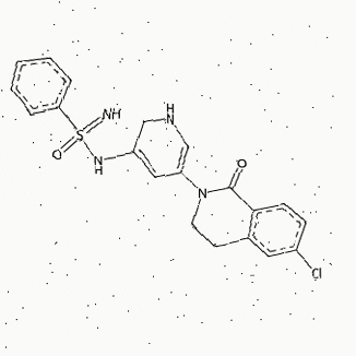 N=S(=O)(NC1=CC(N2CCc3cc(Cl)ccc3C2=O)=CNC1)c1ccccc1